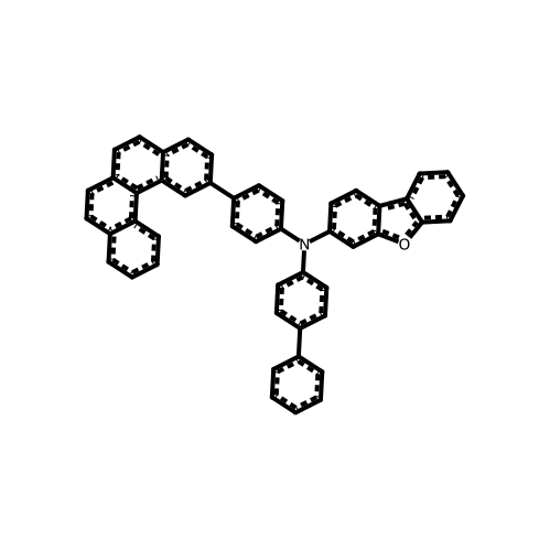 c1ccc(-c2ccc(N(c3ccc(-c4ccc5ccc6ccc7ccccc7c6c5c4)cc3)c3ccc4c(c3)oc3ccccc34)cc2)cc1